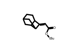 CC(C)(C)OC(=O)C=C1C2CCC3CC1C2C3